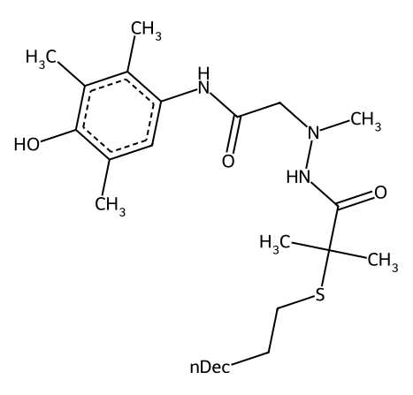 CCCCCCCCCCCCSC(C)(C)C(=O)NN(C)CC(=O)Nc1cc(C)c(O)c(C)c1C